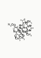 COc1cnc(C(OC)C(C)S(=O)(=O)Nc2nnc(C3CCC3)n2-c2c(OC)ncnc2OC)nc1